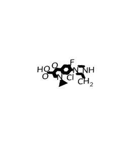 C=CC1CN(c2c(F)cc3c(=O)c(C(=O)O)cn(C4CC4)c3c2Cl)CCN1